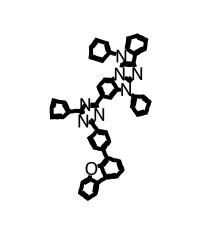 c1ccc(-c2nc(-c3ccc(-c4cccc5c4oc4ccccc45)cc3)nc(-c3ccc4c(c3)n(-c3ccccc3)c3nc5c6ccccc6n(-c6ccccc6)c5n43)n2)cc1